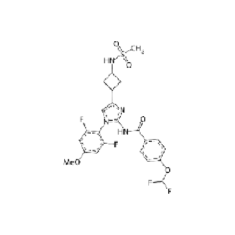 COc1cc(F)c(-n2cc(C3CC(NS(C)(=O)=O)C3)nc2NC(=O)c2ccc(OC(F)F)cc2)c(F)c1